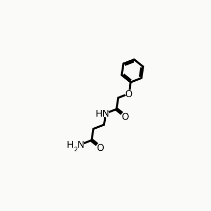 NC(=O)CCNC(=O)COc1ccccc1